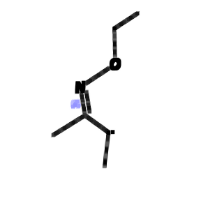 C[CH]/C(C)=N\OCC